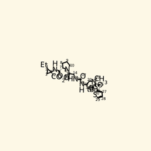 CCC1C[C@]1(NC(=O)[C@@H]1CCCN1C(=O)CNC(=O)NC(CN(C)S(=O)(=O)c1cccs1)C(C)(C)C)C(=O)O